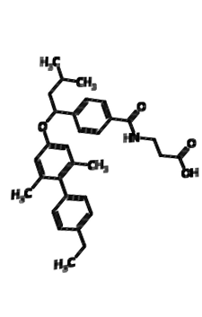 CCc1ccc(-c2c(C)cc(OC(CC(C)C)c3ccc(C(=O)NCCC(=O)O)cc3)cc2C)cc1